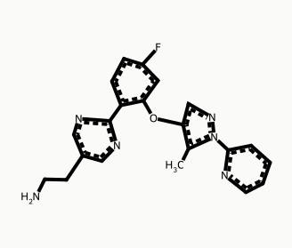 Cc1c(Oc2cc(F)ccc2-c2ncc(CCN)cn2)cnn1-c1ccccn1